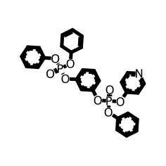 O=P(Oc1ccccc1)(Oc1ccncc1)Oc1cccc(OP(=O)(Oc2ccccc2)OC2C=CC=CC2)c1